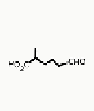 CC(CCCC=O)C(=O)O